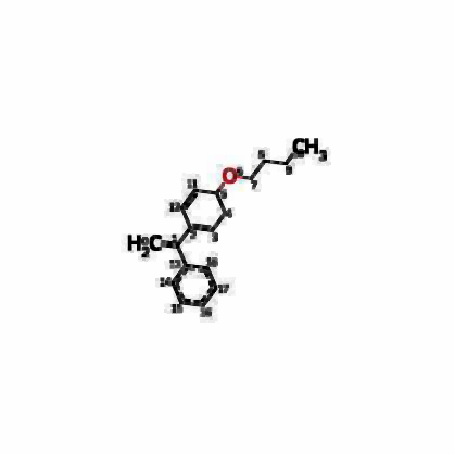 C=C(C1=CCC(OCCCC)C=C1)c1ccccc1